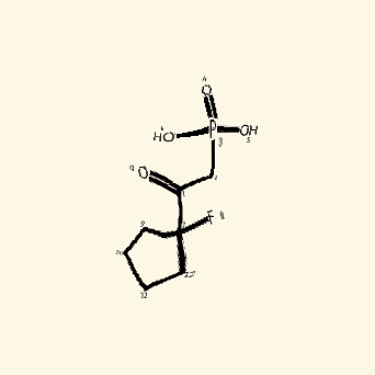 O=C(CP(=O)(O)O)C1(F)CCCC1